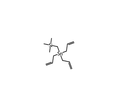 C=C[CH2][Sn]([CH2]C=C)([CH2]C=C)[CH2][Si](C)(C)C